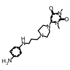 Cn1c(N2CCN(CCCNc3ccc(N)cc3)CC2)cc(=O)n(C)c1=O